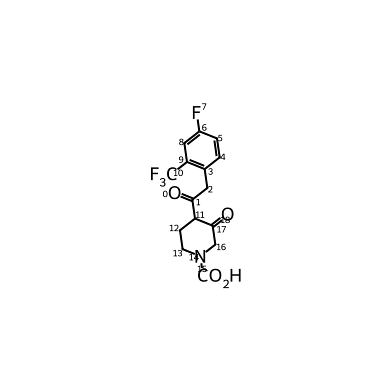 O=C(Cc1ccc(F)cc1C(F)(F)F)C1CCN(C(=O)O)CC1=O